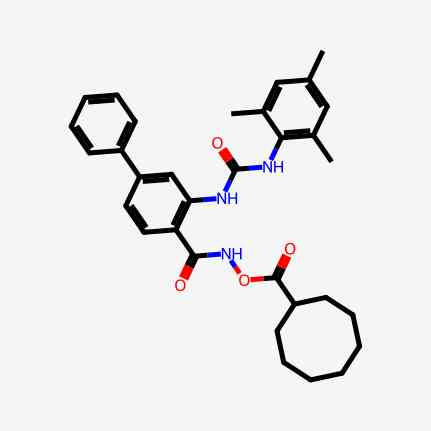 Cc1cc(C)c(NC(=O)Nc2cc(-c3ccccc3)ccc2C(=O)NOC(=O)C2CCCCCCC2)c(C)c1